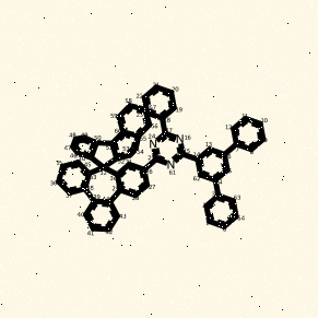 c1ccc(-c2cc(-c3ccccc3)cc(-c3nc(-c4ccccc4)nc(-c4ccc5c(c4)C4(c6ccccc6-c6ccccc6-5)c5ccccc5-c5c4ccc4ccccc54)n3)c2)cc1